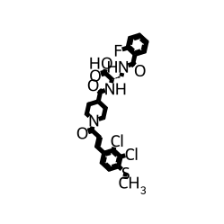 CSc1ccc(/C=C/C(=O)N2CCC(C(=O)N[C@@H](CNC(=O)c3ccccc3F)C(=O)O)CC2)c(Cl)c1Cl